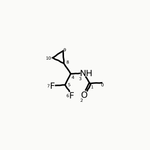 CC(=O)NC(C(F)F)C1CC1